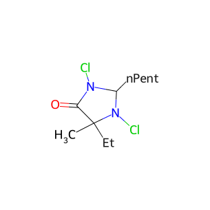 CCCCCC1N(Cl)C(=O)C(C)(CC)N1Cl